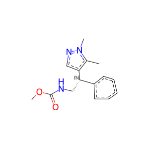 COC(=O)NC[C@@H](c1ccccc1)c1cnn(C)c1C